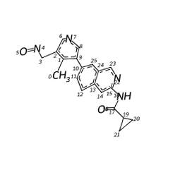 Cc1c(CN=O)cncc1-c1ccc2cc(NC(=O)C3CC3)ncc2c1